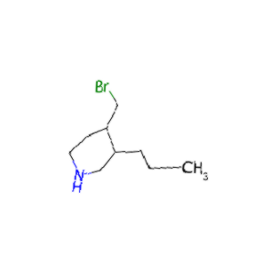 CCCC1CNCCC1CBr